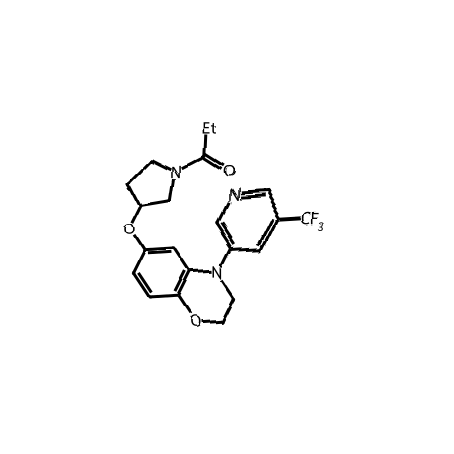 CCC(=O)N1CCC(Oc2ccc3c(c2)N(c2cncc(C(F)(F)F)c2)CCO3)C1